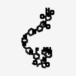 CCC1(CC)C(=O)N(c2ccnc3[nH]ccc23)[C@H]1c1cc(F)c(N2CCC(CN3CCN(CC4CCN(c5ccc6c(c5)CN([C@H]5CCC(=O)NC5=O)C6=O)CC4)CC3)CC2)cc1OC